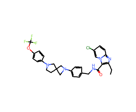 CCc1nc2ccc(Cl)cn2c1C(=O)NCc1ccc(N2CC3(CCN(c4ccc(OC(F)(F)F)cc4)C3)C2)cc1